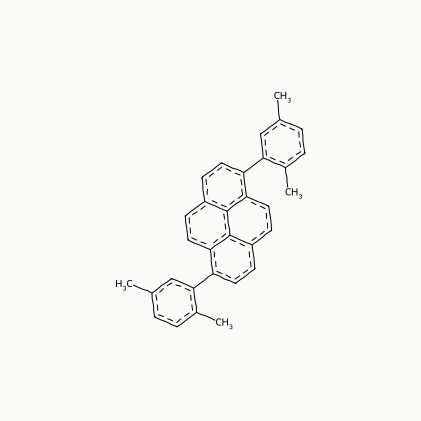 Cc1ccc(C)c(-c2ccc3ccc4c(-c5cc(C)ccc5C)ccc5ccc2c3c54)c1